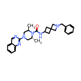 C[C@@H]1CN(c2ncc3ccccc3n2)C[C@@H](C)N1C(=O)NC1CC2(C1)CN(Cc1ccccc1)C2